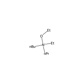 CCCC[N+](CC)(CCC)OCC